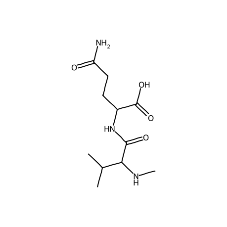 CNC(C(=O)NC(CCC(N)=O)C(=O)O)C(C)C